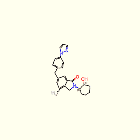 Cc1cc(Cc2ccc(-n3cccn3)cc2)cc2c1CN([C@@H]1CCCC[C@H]1O)C2=O